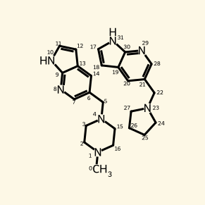 CN1CCN(Cc2cnc3[nH]ccc3c2)CC1.c1cc2cc(CN3CCCC3)cnc2[nH]1